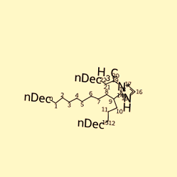 CCCCCCCCCCCCCCCCCCC(CCCCCCCCCCCCC)c1[nH]cc[n+]1C(C)CCCCCCCCCCC